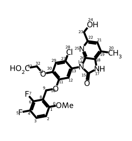 COc1ccc(F)c(F)c1COc1cc(-n2c(=O)[nH]c3c(C)cc(CO)nc32)c(Cl)cc1OCC(=O)O